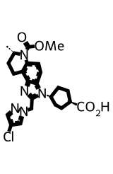 COC(=O)N1c2ccc3c(nc(Cn4cc(Cl)cn4)n3[C@H]3CC[C@H](C(=O)O)CC3)c2CC[C@@H]1C